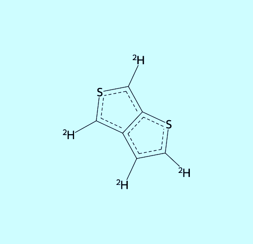 [2H]c1sc2c([2H])sc([2H])c2c1[2H]